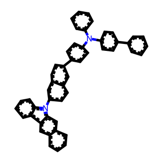 c1ccc(-c2ccc(N(c3ccccc3)c3ccc(-c4ccc5cc(-n6c7ccccc7c7cc8ccccc8cc76)ccc5c4)cc3)cc2)cc1